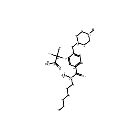 CCCCCCN(N)C(=O)c1ccc(CN2CCN(C)CC2)cc1.O=C(O)C(F)(F)F